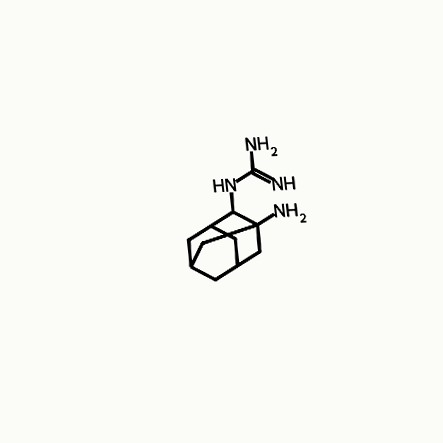 N=C(N)NC1C2CC3CC(C2)CC1(N)C3